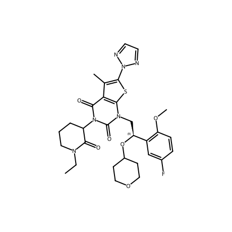 CCN1CCCC(n2c(=O)c3c(C)c(-n4nccn4)sc3n(C[C@H](OC3CCOCC3)c3cc(F)ccc3OC)c2=O)C1=O